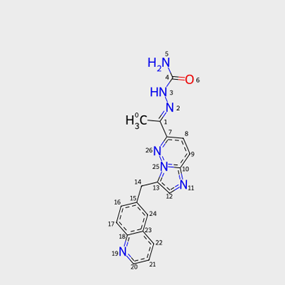 C/C(=N\NC(N)=O)c1ccc2ncc(Cc3ccc4ncccc4c3)n2n1